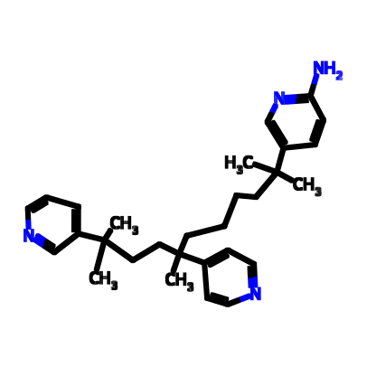 CC(C)(CCCCC(C)(CCC(C)(C)c1cccnc1)c1ccncc1)c1ccc(N)nc1